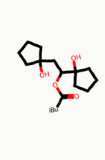 CCC(C)C(=O)OC(CC1(O)CCCC1)C1(O)CCCC1